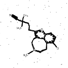 CN1CCc2c(Cl)ccc3oc(CCC(C)(C)C#N)c(c23)C1